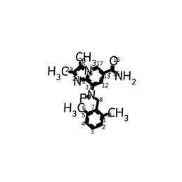 Cc1cccc(C)c1CN(F)c1cc(C(N)=O)cn2c(C)c(C)nc12